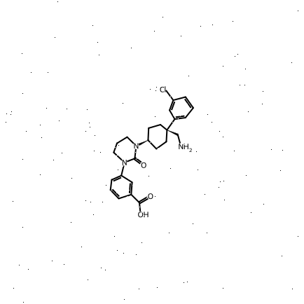 NC[C@]1(c2cccc(Cl)c2)CC[C@H](N2CCCN(c3cccc(C(=O)O)c3)C2=O)CC1